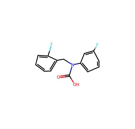 O=C(O)N(Cc1ccccc1F)c1cccc(F)c1